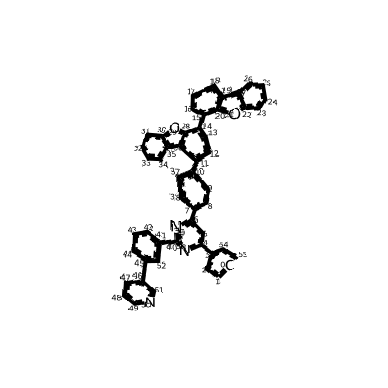 c1ccc(-c2cc(-c3ccc(-c4ccc(-c5cccc6c5oc5ccccc56)c5oc6ccccc6c45)cc3)nc(-c3cccc(-c4cccnc4)c3)n2)cc1